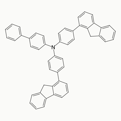 c1ccc(-c2ccc(N(c3ccc(-c4cccc5c4Cc4ccccc4-5)cc3)c3ccc(-c4cccc5c4Cc4ccccc4-5)cc3)cc2)cc1